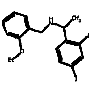 CCOc1ccccc1CNC(C)c1ccc(I)cc1I